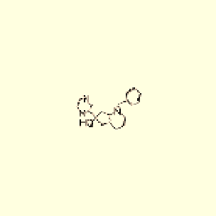 OC1(c2cnccn2)CC2CCCN(Cc3ccccc3)C2C1